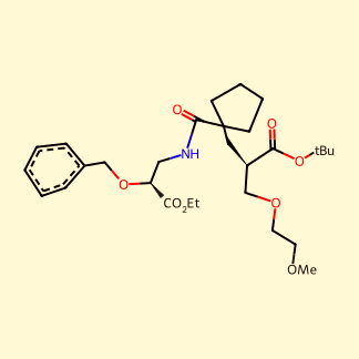 CCOC(=O)[C@H](CNC(=O)C1(C[C@H](COCCOC)C(=O)OC(C)(C)C)CCCC1)OCc1ccccc1